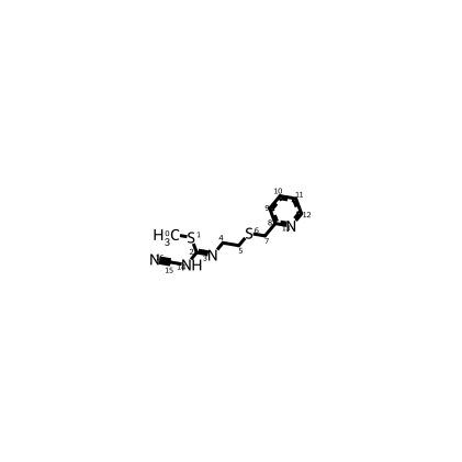 CSC(=NCCSCc1ccccn1)NC#N